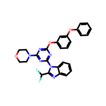 FC(F)c1nc2ccccc2n1-c1nc(Oc2cccc(Oc3ccccc3)c2)nc(N2CCOCC2)n1